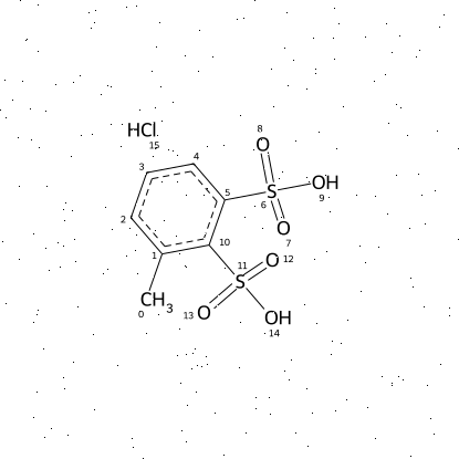 Cc1cccc(S(=O)(=O)O)c1S(=O)(=O)O.Cl